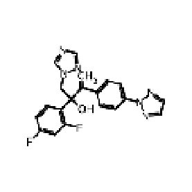 C=C(c1ccc(-n2nccn2)cc1)C(O)(Cn1cncn1)c1ccc(F)cc1F